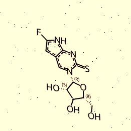 OC[C@H]1O[C@@H](n2cc3cc(F)[nH]c3nc2=S)[C@@H](O)C1O